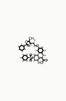 Cc1oc(-c2ccccc2)nc1CCOc1ccc(C[C@@H](C(=O)O)N2CCN(S(=O)(=O)c3ccccc3)CC2)cc1